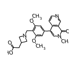 C=C1c2cnccc2C(c2cc(OC)c(CN3CC(CC(=O)O)C3)c(OC)c2)=CN1C